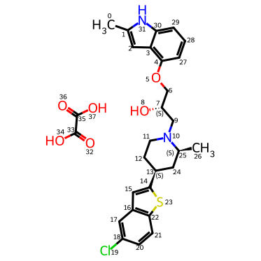 Cc1cc2c(OC[C@@H](O)CN3CC[C@H](c4cc5cc(Cl)ccc5s4)C[C@@H]3C)cccc2[nH]1.O=C(O)C(=O)O